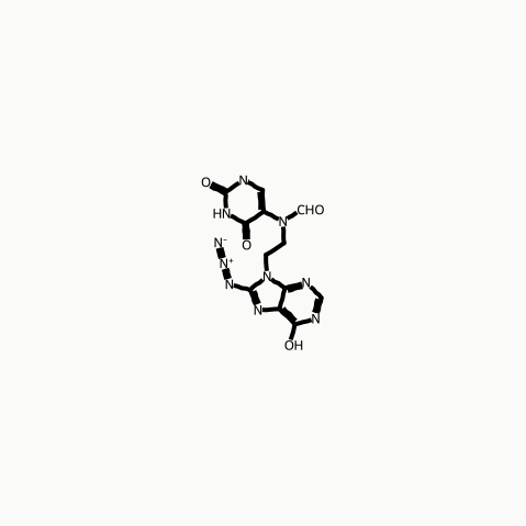 [N-]=[N+]=Nc1nc2c(O)ncnc2n1CCN(C=O)C1=C[N]C(=O)NC1=O